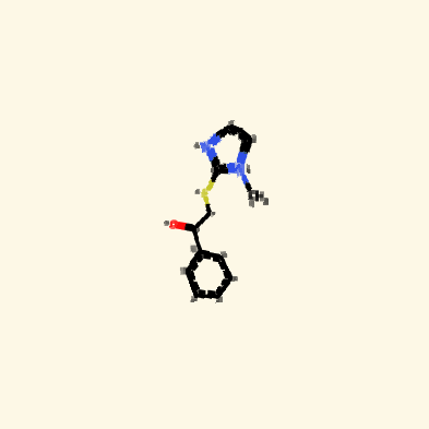 Cn1ccnc1SCC(=O)c1ccccc1